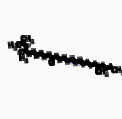 C=C(CCCC)CCC/C=C/C=C/CCCCC(=O)CCCCCC[C@H](C)CC(C)C